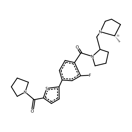 C[C@H]1CCCN1CC1CCCN1C(=O)c1ccc(-c2ccc(C(=O)N3CCCC3)s2)cc1F